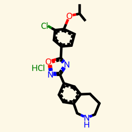 CC(C)Oc1ccc(-c2nc(-c3ccc4c(c3)CCCNC4)no2)cc1Cl.Cl